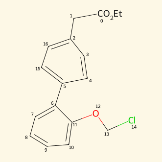 CCOC(=O)Cc1ccc(-c2ccccc2OCCl)cc1